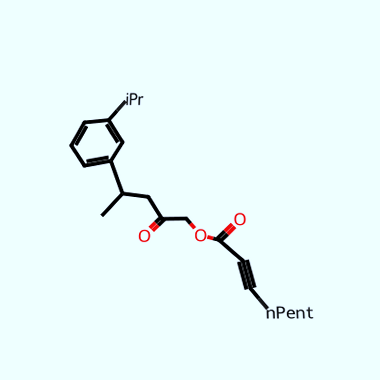 CCCCCC#CC(=O)OCC(=O)CC(C)c1cccc(C(C)C)c1